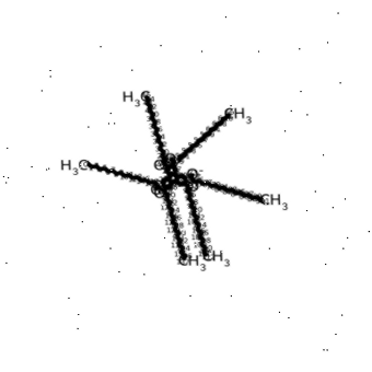 CCCCCCCCCCCCCCCCCC[S+]([O-])c1cc2c3cc([S+]([O-])CCCCCCCCCCCCCCCCCC)c([S+]([O-])CCCCCCCCCCCCCCCCCC)cc3c3cc([S+]([O-])CCCCCCCCCCCCCCCCCC)c([S+]([O-])CCCCCCCCCCCCCCCCCC)cc3c2cc1[S+]([O-])CCCCCCCCCCCCCCCCCC